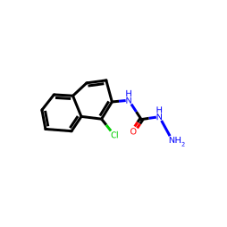 NNC(=O)Nc1ccc2ccccc2c1Cl